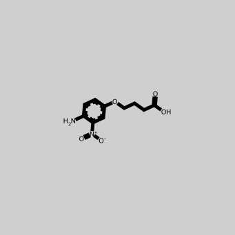 Nc1ccc(OCCCC(=O)O)cc1[N+](=O)[O-]